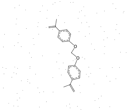 C=C(C)c1ccc(OCOc2ccc(C(=C)C)cc2)cc1